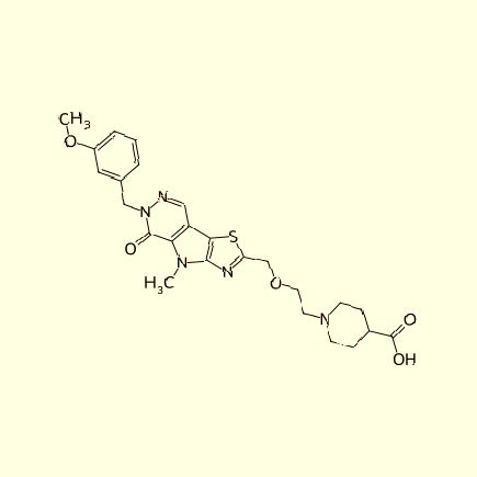 COc1cccc(Cn2ncc3c4sc(COCCN5CCC(C(=O)O)CC5)nc4n(C)c3c2=O)c1